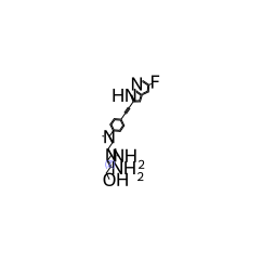 CN(CCN(N)/C=C(\N)CO)c1ccc(C#Cc2cc3cc(F)cnc3[nH]2)cc1